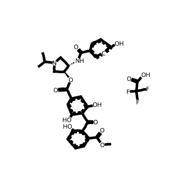 COC(=O)c1cccc(O)c1C(=O)c1c(O)cc(C(=O)O[C@H]2CN(C(C)C)C[C@@H]2NC(=O)c2ccc(O)cc2)cc1O.O=C(O)C(F)(F)F